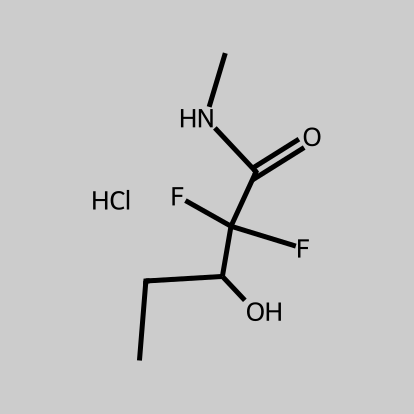 CCC(O)C(F)(F)C(=O)NC.Cl